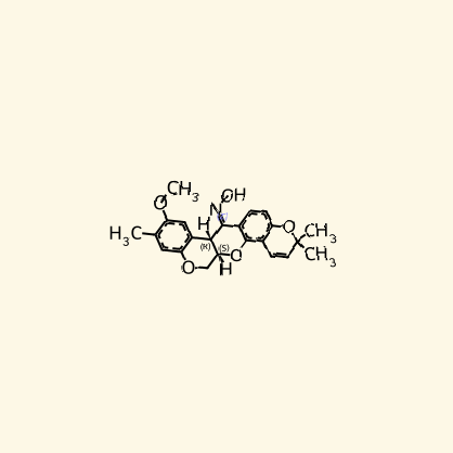 COc1cc2c(cc1C)OC[C@H]1Oc3c(ccc4c3C=CC(C)(C)O4)/C(=N\O)[C@@H]21